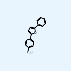 CC(C)(C)c1ccc(-c2ccc(-c3ccccc3)o2)cc1